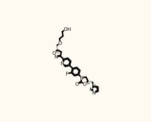 O=C1O[C@@H](Cn2ccnn2)CN1c1ccc(-c2ccc(C3=NO[C@H](COCCCO)C3)nc2)c(F)c1